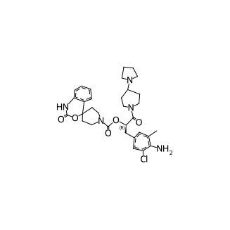 Cc1cc(C[C@@H](OC(=O)N2CCC3(CC2)OC(=O)Nc2ccccc23)C(=O)N2CCC(N3CCCC3)CC2)cc(Cl)c1N